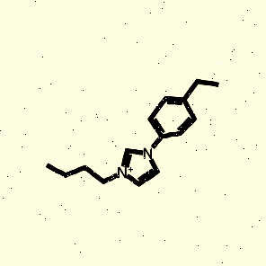 CCCC[n+]1ccn(-c2ccc(CC)cc2)c1